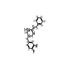 Fc1ccc(CN2CN=C(SCc3ccccc3)NC2)cc1F